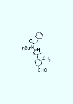 CCCCN(C(=O)Cc1ccccc1)c1nnc(-c2ccc(C=O)cc2C)s1